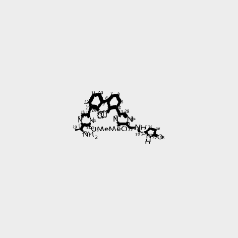 COc1nc(-c2cccc(-c3cccc(-c4cnc([C@H](C)N)c(OC)n4)c3Cl)c2Cl)cnc1CNC[C@@H]1CCC(=O)N1